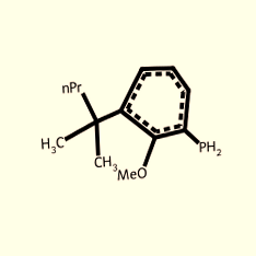 CCCC(C)(C)c1cccc(P)c1OC